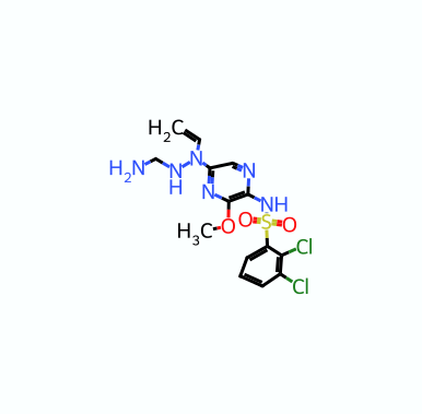 C=CN(NCN)c1cnc(NS(=O)(=O)c2cccc(Cl)c2Cl)c(OC)n1